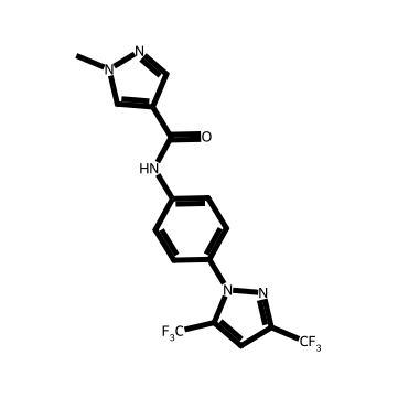 Cn1cc(C(=O)Nc2ccc(-n3nc(C(F)(F)F)cc3C(F)(F)F)cc2)cn1